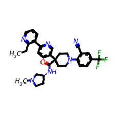 CCc1ncccc1-c1ccc(C2(C(=O)N[C@@H]3CCN(C)C3)CCN(c3ccc(C(F)(F)F)cc3C#N)CC2)cn1